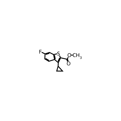 COC(=O)c1sc2cc(F)ccc2c1C1CC1